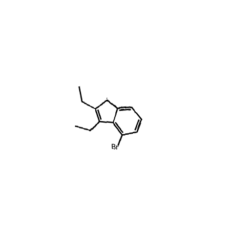 CCC1=C(CC)c2c(Br)cccc2[CH]1